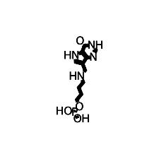 O=c1[nH]cnc2c(CNCCCCOP(O)O)c[nH]c12